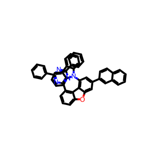 c1ccc(-c2nc(-c3ccccc3)nc(-c3cccc4oc5cc(-c6ccc7ccccc7c6)cc(-n6c7ccccc7c7ccccc76)c5c34)n2)cc1